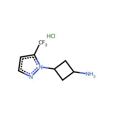 Cl.NC1CC(n2nccc2C(F)(F)F)C1